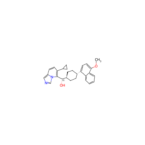 COc1ccc([C@H]2CC[C@H]([C@H](O)c3c(C4CC4)ccc4cncn34)CC2)c2ccccc12